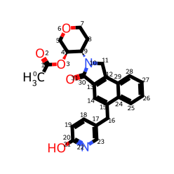 CC(=O)O[C@H]1COCC[C@@H]1N1Cc2c(cc(Cc3ccc(O)nc3)c3ccccc23)C1=O